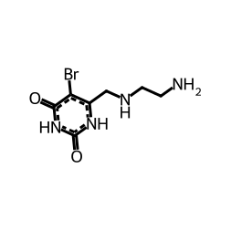 NCCNCc1[nH]c(=O)[nH]c(=O)c1Br